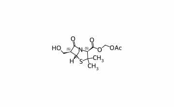 CC(=O)OCOC(=O)[C@@H]1N2C(=O)[C@H](CO)[C@H]2SC1(C)C